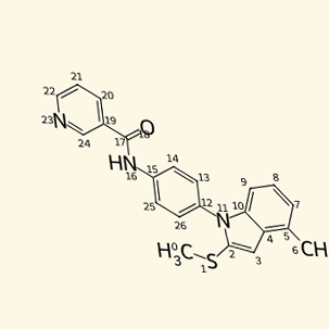 CSc1cc2c(C)cccc2n1-c1ccc(NC(=O)c2cccnc2)cc1